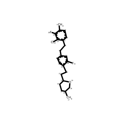 Cc1ccc(CCc2ccc(CCC3CCC(C)CO3)c(F)c2)c(Cl)c1F